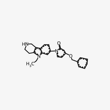 CCn1c2c(c3ccc(-n4ccc(OCc5ccccc5)cc4=O)cc31)CNCC2